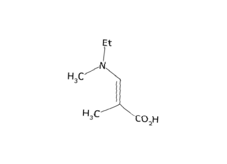 CCN(C)C=C(C)C(=O)O